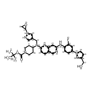 CC(C)(C)OC(=O)N1CCC(N(Cc2cnn(C3CO3)c2)c2ccc3cnc(Nc4ccc(-n5ccc(CO)n5)cc4F)cc3n2)CC1